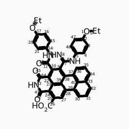 CCOc1ccc(NC(=N)c2c(C(=O)Nc3ccc(OCC)cc3)c3c4c(c(C(=O)O)cc5c6cccc7cccc(c2c45)c76)C(=O)NC3=O)cc1